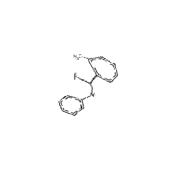 Cc1ccccc1C(F)[N]c1ccccc1